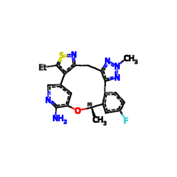 CCc1snc2c1-c1cnc(N)c(c1)O[C@H](C)c1cc(F)ccc1-c1nn(C)nc1C2